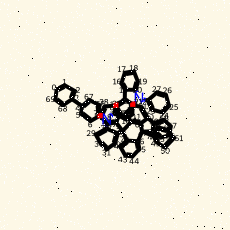 c1ccc(-c2ccc(N(c3ccc4c(c3)c3ccccc3n4-c3ccccc3)c3ccccc3C3(c4ccccc4)c4ccccc4C4(c5ccccc5)c5ccccc5-c5cccc3c54)cc2)cc1